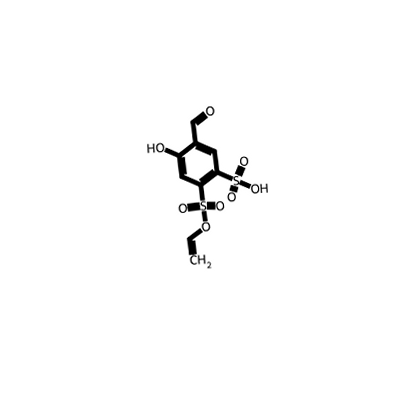 C=COS(=O)(=O)c1cc(O)c(C=O)cc1S(=O)(=O)O